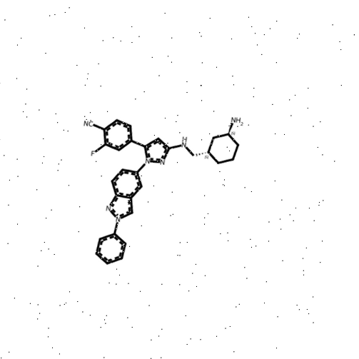 N#Cc1ccc(-c2cc(NC[C@H]3CCC[C@H](N)C3)nn2-c2ccc3nn(-c4ccccc4)cc3c2)cc1F